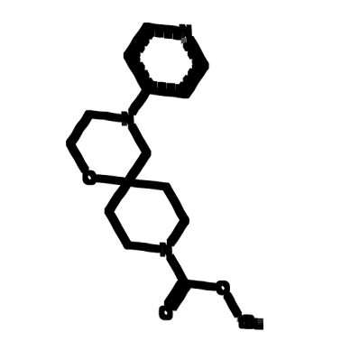 CC(C)(C)OC(=O)N1CCC2(CC1)CN(c1ccncc1)CCO2